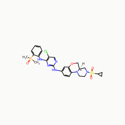 CP(C)(=O)c1ccccc1Nc1nc(Nc2ccc3c(c2)OC[C@H]2CN(S(=O)(=O)C4CC4)CCN32)ncc1Cl